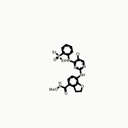 CCP(=O)(CC)c1ccccc1Nc1nc(Nc2ccc(C(=O)NOC)c3c2OCC3)ncc1Cl